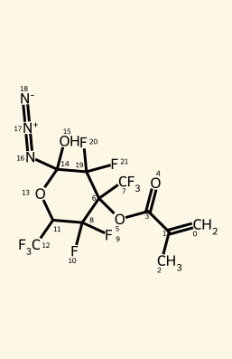 C=C(C)C(=O)OC1(C(F)(F)F)C(F)(F)C(C(F)(F)F)OC(O)(N=[N+]=[N-])C1(F)F